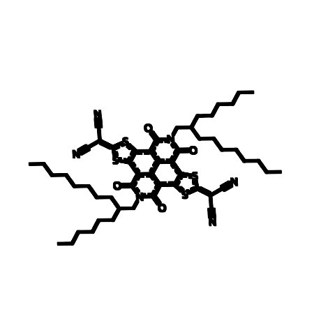 CCCCCCCCC(CCCCCC)Cn1c(=O)c2c3sc(=C(C#N)C#N)sc3c3c(=O)n(CC(CCCCCC)CCCCCCCC)c(=O)c4c5sc(=C(C#N)C#N)sc5c(c1=O)c2c34